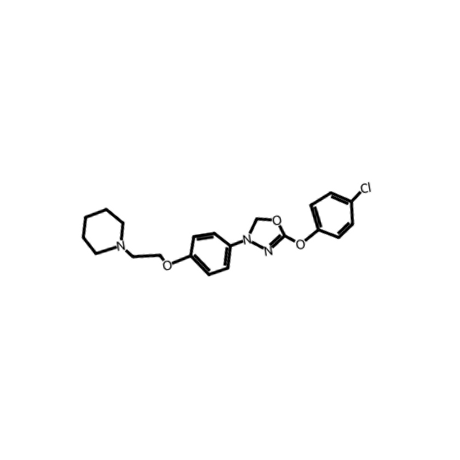 Clc1ccc(OC2=NN(c3ccc(OCCN4CCCCC4)cc3)CO2)cc1